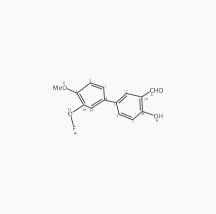 COc1ccc(-c2ccc(O)c(C=O)c2)cc1OF